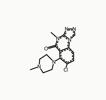 CN1CCN(c2c(Cl)ccc3c2c(=O)n(C)c2nncn32)CC1